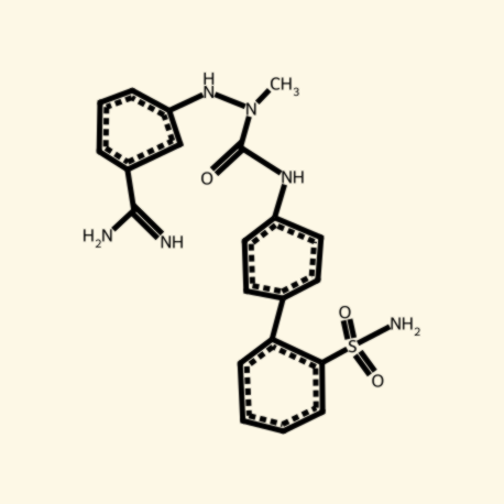 CN(Nc1cccc(C(=N)N)c1)C(=O)Nc1ccc(-c2ccccc2S(N)(=O)=O)cc1